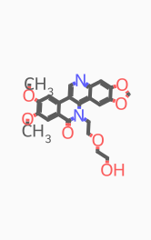 COc1cc2c(=O)n(CCOCCO)c3c4cc5c(cc4ncc3c2cc1OC)OCO5